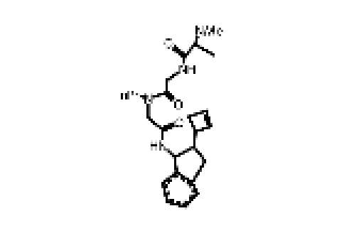 CCCN(CC(=O)NC1c2ccccc2CC1C1C=CC1)C(=O)CNC(=O)C(C)NC